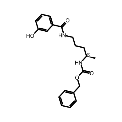 C[C@H](CCCNC(=O)c1cccc(O)c1)NC(=O)OCc1ccccc1